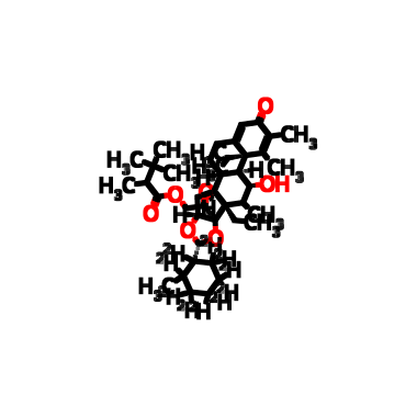 [2H]C1([2H])C([2H])([2H])C([2H])([2H])C([2H])([C@@H]2O[C@@H]3C[C@H]4[C@@H]5CCC6=CC(=O)C(C)=C(C)[C@]6(C(C)C)[C@H]5[C@@H](O)C(C)[C@]4(CC)[C@]3(C(=O)COC(=O)C(C)C(C)(C)C)O2)C([2H])(C)C1([2H])[2H]